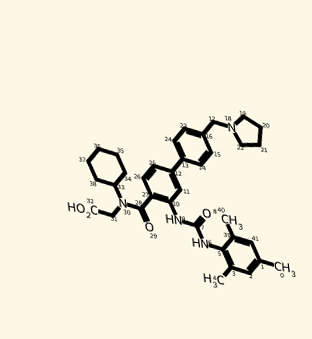 Cc1cc(C)c(NC(=O)Nc2cc(-c3ccc(CN4CCCC4)cc3)ccc2C(=O)N(CC(=O)O)C2CCCCC2)c(C)c1